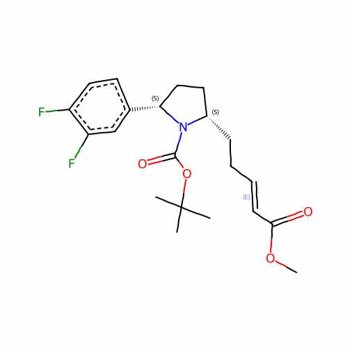 COC(=O)/C=C/CC[C@H]1CC[C@@H](c2ccc(F)c(F)c2)N1C(=O)OC(C)(C)C